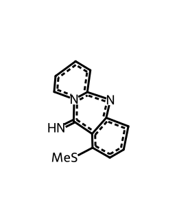 CSc1cccc2nc3ccccn3c(=N)c12